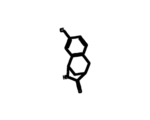 O=C1NC2CC1Cc1ccc(Cl)cc12